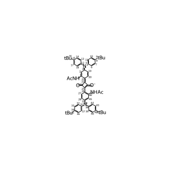 CC(=O)NC1=CC(=[N+](c2ccc(C(C)(C)C)cc2)c2ccc(C(C)(C)C)cc2)C=C/C1=C1/C(=O)C(c2ccc(N(c3ccc(C(C)(C)C)cc3)c3ccc(C(C)(C)C)cc3)cc2NC(C)=O)=C1[O-]